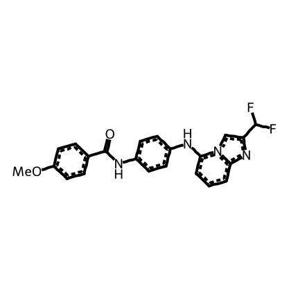 COc1ccc(C(=O)Nc2ccc(Nc3cccc4nc(C(F)F)cn34)cc2)cc1